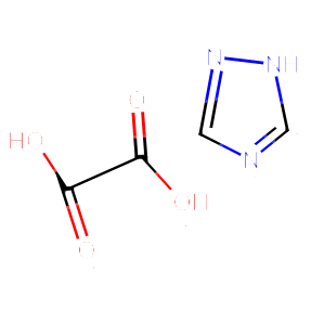 O=C(O)C(=O)O.c1nc[nH]n1